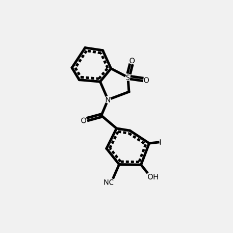 N#Cc1cc(C(=O)N2CS(=O)(=O)c3ccccc32)cc(I)c1O